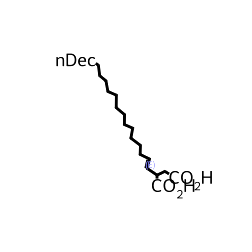 CCCCCCCCCCCCCCCCCCCCCC/C=C/C(CC(=O)O)C(=O)O